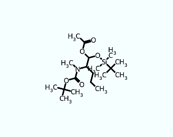 CCCC(C(OC(C)=O)O[Si](C)(C)C(C)(C)C)N(C)C(=O)OC(C)(C)C